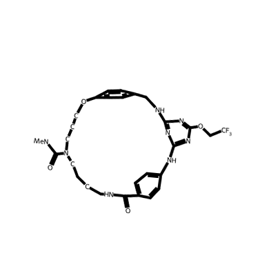 CNC(=O)N1CCCCNC(=O)c2ccc(cc2)Nc2nc(nc(OCC(F)(F)F)n2)NCc2ccc(cc2)OCCC1